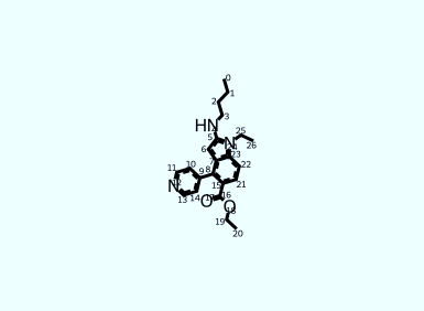 CCCCNc1cc2c(-c3ccncc3)c(C(=O)OCC)ccc2n1CC